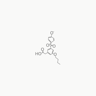 CCCCOc1cc(CC(=O)O)cc(S(=O)(=O)c2ccc(OC)cc2)c1